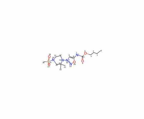 CCCCOC(=O)[N-]c1c[n+](N2CCN(S(C)(=O)=O)CC2(C)C)no1